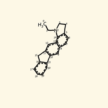 CCN1CCc2ccc3cc4c(cc3c21)Cc1ccccc1-4